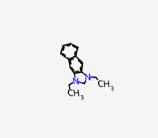 CCN1CN(CC)c2cc3ccccc3cc21